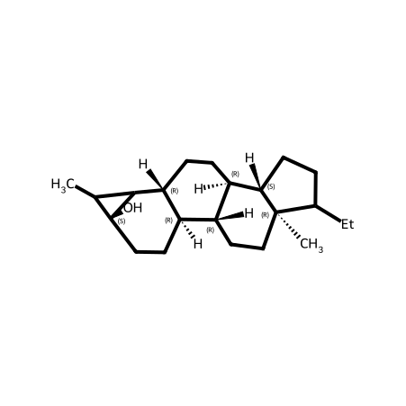 CCC1CC[C@H]2[C@@H]3CC[C@H]4C5C(C)[C@@]5(O)CC[C@@H]4[C@H]3CC[C@]12C